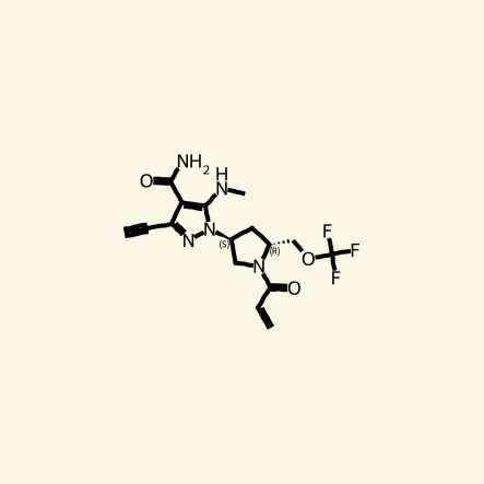 C#Cc1nn([C@H]2C[C@H](COC(F)(F)F)N(C(=O)C=C)C2)c(NC)c1C(N)=O